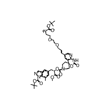 COC(=O)[C@@H](Cc1cc(C)c2c(cnn2C(=O)OC(C)(C)C)c1)OC(=O)N1CCC2(CC1)OC(=O)Nc1ncc(/C=C/COCCOCCN(C)C(=O)OC(C)(C)C)cc12